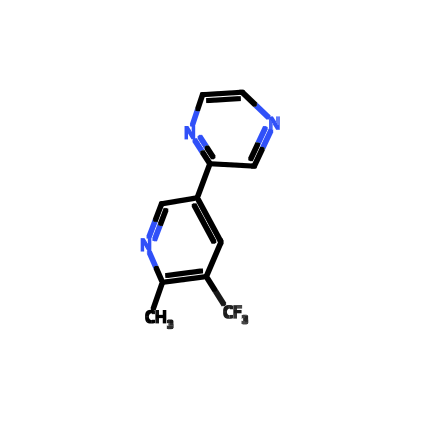 Cc1ncc(-c2cnccn2)cc1C(F)(F)F